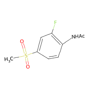 CC(=O)Nc1ccc(S(C)(=O)=O)cc1F